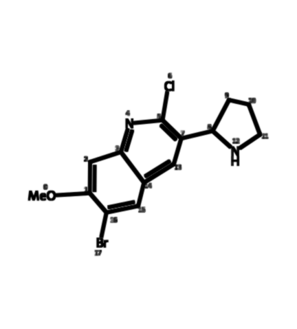 COc1cc2nc(Cl)c(C3CCCN3)cc2cc1Br